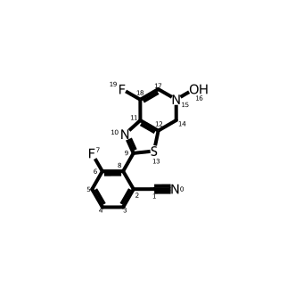 N#Cc1cccc(F)c1-c1nc2c(s1)CN(O)C=C2F